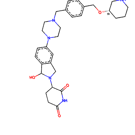 O=C1CCC(N2Cc3cc(N4CCN(Cc5ccc(CO[C@H]6CCCNC6)cc5)CC4)ccc3C2O)C(=O)N1